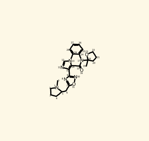 CN1CCCC1Cc1nc(-c2ncn3c2c(=O)n(C2(C)CCCO2)c2ccccc23)no1